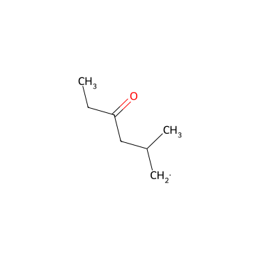 [CH2]C(C)CC(=O)CC